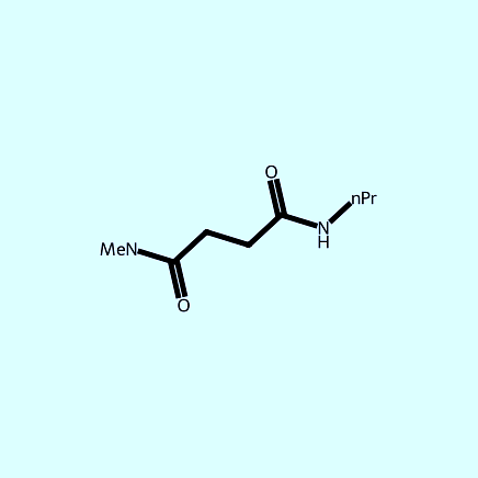 CCCNC(=O)CCC(=O)NC